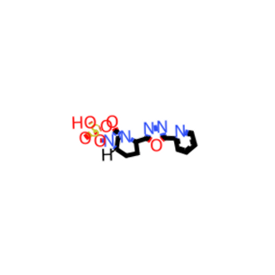 O=C1N2C[C@@H](CCC2c2nnc(-c3ccccn3)o2)N1OS(=O)(=O)O